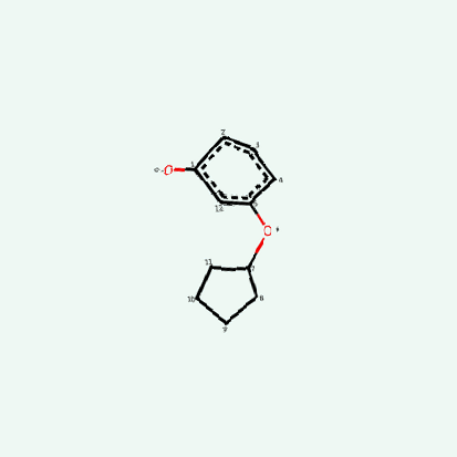 [O]c1cccc(OC2CCCC2)c1